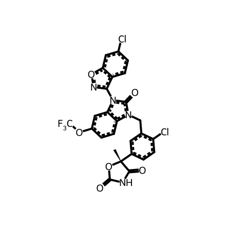 C[C@]1(c2ccc(Cl)c(Cn3c(=O)n(-c4noc5cc(Cl)ccc45)c4cc(OC(F)(F)F)ccc43)c2)OC(=O)NC1=O